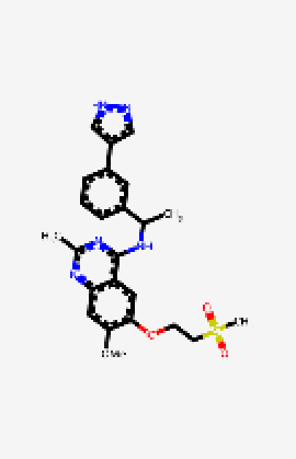 COc1cc2nc(C)nc(NC(C)c3cccc(-c4cn[nH]c4)c3)c2cc1OCCS(C)(=O)=O